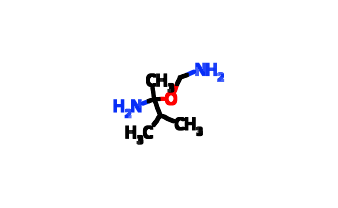 CC(C)C(C)(N)OCN